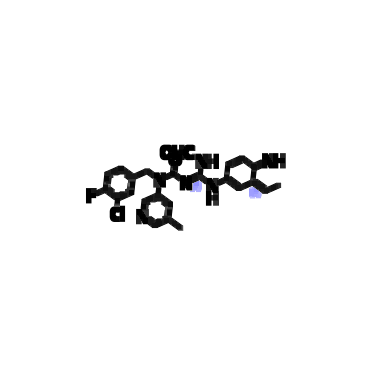 C/C=C1/C=C(N/C(=N/C(=O)N(Cc2ccc(F)c(Cl)c2)c2cncc(C)c2)NC=O)C=CC1=N